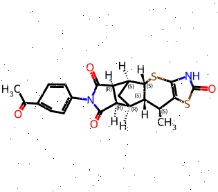 CC(=O)c1ccc(N2C(=O)[C@@H]3[C@H]4C[C@H]([C@@H]5Sc6[nH]c(=O)sc6[C@@H](C)[C@H]45)[C@@H]3C2=O)cc1